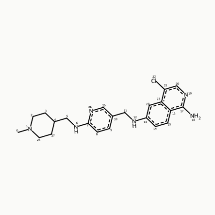 CN1CCC(CNc2ccc(CNc3ccc4c(N)ncc(Cl)c4c3)cn2)CC1